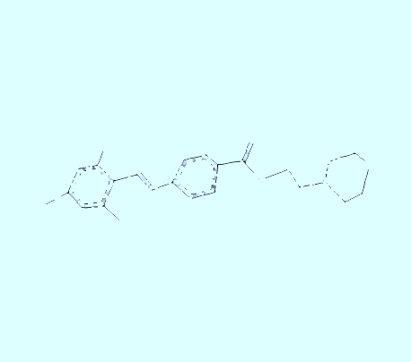 O=C(NCCN1CCOCC1)c1ccc(/C=C/c2c(Cl)cc(Cl)cc2Cl)cc1